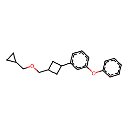 c1ccc(Oc2cccc(C3CC(COCC4CC4)C3)c2)cc1